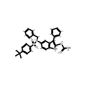 CC(C)(C)c1ccc(S(=O)(=O)N(Cc2ccccc2)c2ccc3[nH]c(OC(=O)O)c(-c4ccccc4)c3c2)cc1